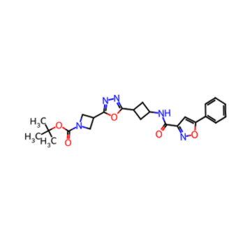 CC(C)(C)OC(=O)N1CC(c2nnc(C3CC(NC(=O)c4cc(-c5ccccc5)on4)C3)o2)C1